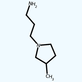 CC1CCN(CCCN)C1